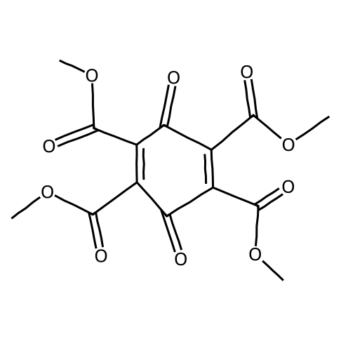 COC(=O)C1=C(C(=O)OC)C(=O)C(C(=O)OC)=C(C(=O)OC)C1=O